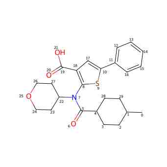 CC1CCC(C(=O)N(c2sc(-c3ccccc3)cc2C(=O)O)C2CCOCC2)CC1